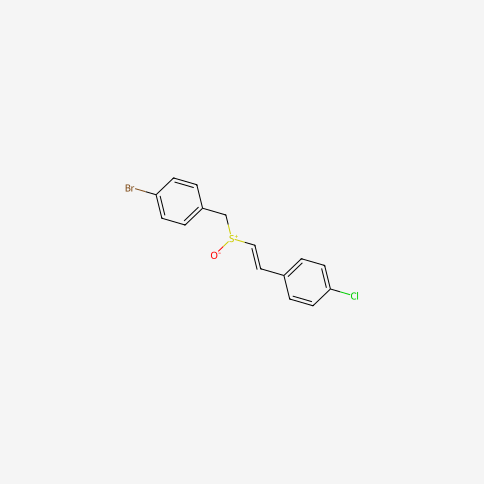 [O-][S+](C=Cc1ccc(Cl)cc1)Cc1ccc(Br)cc1